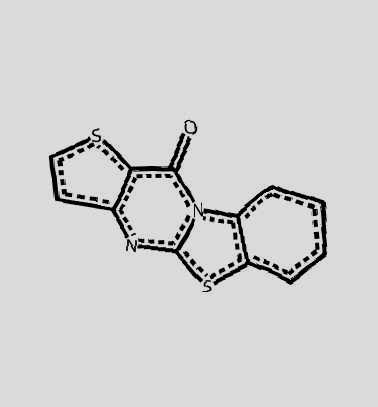 O=c1c2sccc2nc2sc3ccccc3n12